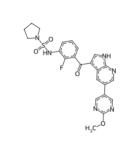 COc1ncc(-c2cnc3[nH]cc(C(=O)c4cccc(NS(=O)(=O)N5CCCC5)c4F)c3c2)cn1